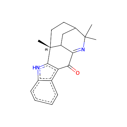 CC1(C)N=C2C(=O)c3c([nH]c4ccccc34)[C@]3(C)CCC1CC23